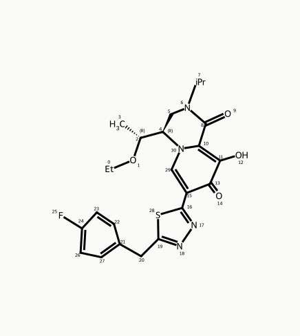 CCO[C@H](C)[C@H]1CN(C(C)C)C(=O)c2c(O)c(=O)c(-c3nnc(Cc4ccc(F)cc4)s3)cn21